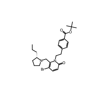 CCC[C@H]1CCCN1Cc1c(Br)ccc(=O)n1CCc1ccc(C(=O)OC(C)(C)C)cc1